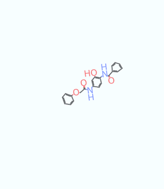 O=C(COc1ccccc1)Nc1ccc(NC(=O)c2ccccc2)c(O)c1